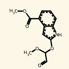 COC(=O)c1cccc2[nH]c(OC(C=O)OC)cc12